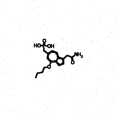 CCCCOc1cc(CP(=O)(O)O)ccc2c(CC(N)=O)ccc1-2